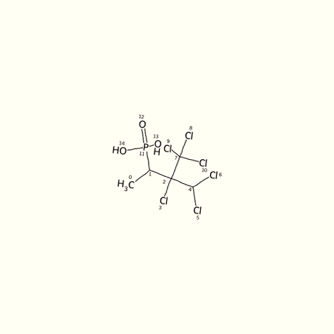 CC(C(Cl)(C(Cl)Cl)C(Cl)(Cl)Cl)P(=O)(O)O